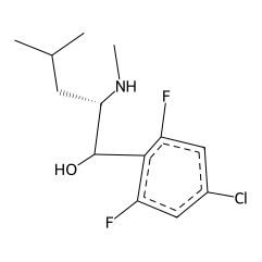 CN[C@@H](CC(C)C)C(O)c1c(F)cc(Cl)cc1F